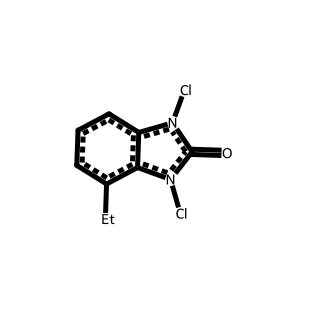 CCc1cccc2c1n(Cl)c(=O)n2Cl